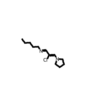 CCCCC/N=C/C(Cl)=C/N1CCCC1